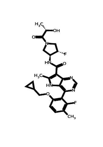 Cc1ccc(OCC2CC2)c(-c2ncnc3c(C(=O)N[C@H]4CN(C(=O)[C@H](C)O)C[C@@H]4F)c(C)[nH]c23)c1F